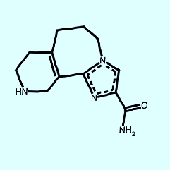 NC(=O)c1cn2c(n1)C1=C(CCC2)CCNC1